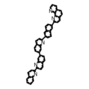 c1ccc2nc(-c3ccc4ccc(-c5ccc6ccc(-c7ccc8cc(-c9ccc%10ccc%11cccnc%11c%10n9)ccc8c7)nc6c5)cc4n3)ccc2c1